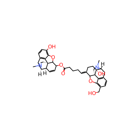 CN1CC[C@]23c4c5ccc(O)c4OC2C(OC(=O)CCCC=C2CC[C@@]4(O)[C@H]6Cc7ccc(CO)c8c7[C@@]4(CCN6C)C2O8)C=C[C@H]3[C@H]1C5